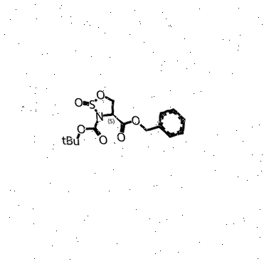 CC(C)(C)OC(=O)N1[C@H](C(=O)OCc2ccccc2)COS1=O